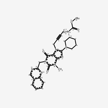 CC#CCn1c(N2CCC[C@@H](NC(=O)OC(C)(C)C)C2)nc2c1c(=O)n(Cc1ncc3ccccc3n1)c(=O)n2C